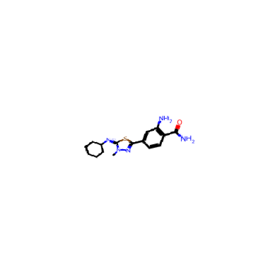 Cn1nc(-c2ccc(C(N)=O)c(N)c2)s/c1=N/C1CCCCC1